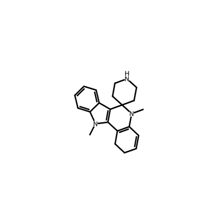 CN1C2=C(CCC=C2)c2c(c3ccccc3n2C)C12CCNCC2